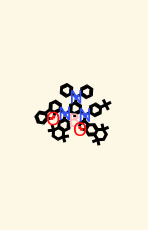 CC(C)(C)c1ccc(N2c3cc(N(c4ccccc4)c4ccccc4)cc4c3B(c3cc5c(cc3N4c3cccc4c3oc3ccccc34)C(C)(C)CCC5(C)C)c3oc4cc5c(cc4c32)C(C)(C)CCC5(C)C)cc1